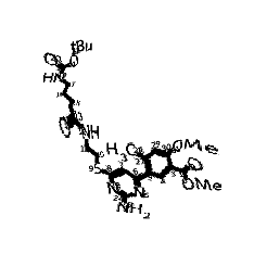 COC(=O)c1cc(-c2cc(SCCNC(=O)CCCNC(=O)OC(C)(C)C)nc(N)n2)c(C)cc1OC